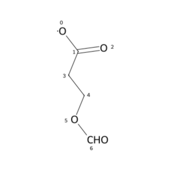 [O]C(=O)CCOC=O